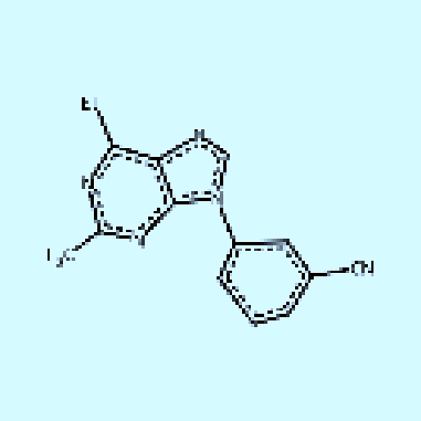 CCc1nc(C(F)(F)F)nc2c1ncn2-c1cccc(C#N)c1